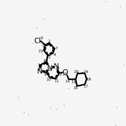 Clc1cccc(-c2cnc3ccc(OCC4CCCCC4)nn23)c1